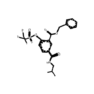 CC(C)CNC(=O)c1ccc(OS(=O)(=O)C(F)(F)F)c(C(=O)OCc2ccccc2)c1